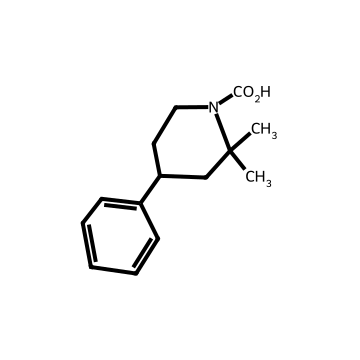 CC1(C)CC(c2ccccc2)CCN1C(=O)O